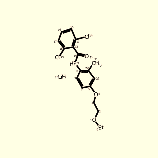 CCOCCOc1ccc(PC(=O)c2c(Cl)cccc2Cl)c(C)c1.[LiH]